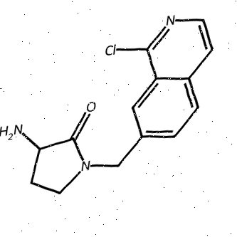 NC1CCN(Cc2ccc3ccnc(Cl)c3c2)C1=O